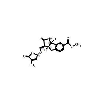 COC(=O)c1ccc2c(c1)[C@H]1NC(=O)/C(=C/O[C@H]3C=C(C)C(=O)O3)[C@H]1C2